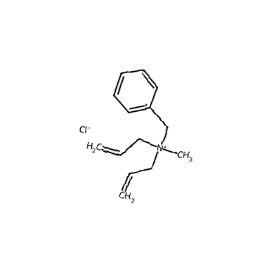 C=CC[N+](C)(CC=C)Cc1ccccc1.[Cl-]